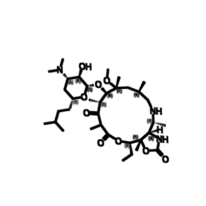 CC[C@H]1OC(=O)C(C)C(=O)[C@H](C)[C@@H](O[C@@H]2O[C@H](CCC(C)C)C[C@H](N(C)C)[C@H]2O)[C@](C)(OC)C[C@@H](C)CN[C@H](C)[C@H]2NC(=O)O[C@@]21C